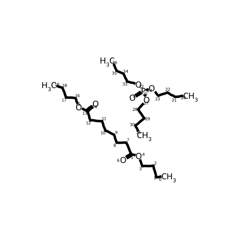 CCCCOC(=O)CCCCCCC(=O)OCCCC.CCCCOP(=O)(OCCCC)OCCCC